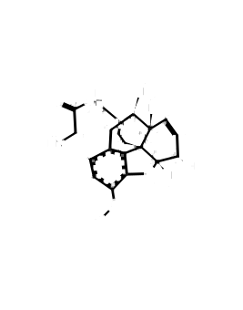 COc1ccc2c3c1O[C@H]1[C@@H](O)C=C[C@H]4[C@@H](C2)N(C)CC[C@@]341.NCC(=O)O